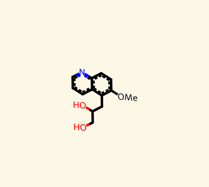 COc1ccc2ncccc2c1CC(O)CO